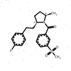 C[C@@H]1CC[C@H](CCc2ccc(F)cc2)N1C(=O)c1cccc(S(C)(=O)=O)c1